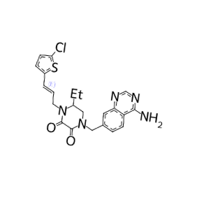 CCC1CN(Cc2ccc3c(N)ncnc3c2)C(=O)C(=O)N1C/C=C/c1ccc(Cl)s1